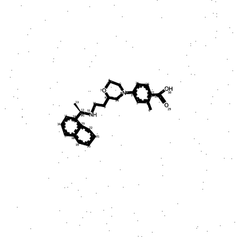 Cc1cc(N2CCOC(CCN[C@H](C)c3cccc4ccccc34)C2)ccc1C(=O)O